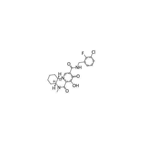 CN1C(=O)c2c(O)c(=O)c(C(=O)NCc3cccc(Cl)c3F)cn2[C@H]2CCCC[C@H]21